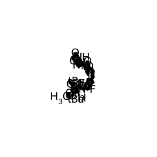 CC(C)(C)OC(=O)N1C[C@H](O[Si](C)(C)C(C)(C)C)C[C@H]1C(=O)Nc1cc(F)c2c(c1F)CC(CN1CCC3(CC1)CN(c1cnc4c(n1)NC(=O)CO4)C(=O)O3)C2